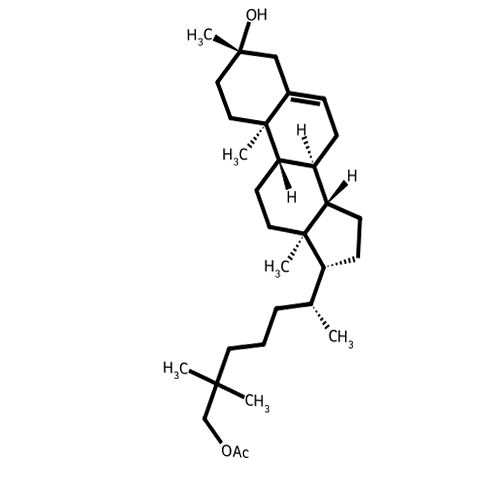 CC(=O)OCC(C)(C)CCC[C@@H](C)[C@H]1CC[C@H]2[C@@H]3CC=C4C[C@@](C)(O)CC[C@]4(C)[C@H]3CC[C@]12C